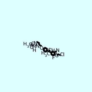 CC(C)(c1ccc(OCc2ccnc(NS(C)(=O)=O)n2)cc1)c1cc(F)c(OCCCl)c(C#N)c1